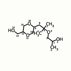 CC(O)COC(C)(C)CC1COC(CO)CO1